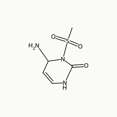 CS(=O)(=O)N1C(=O)NC=CC1N